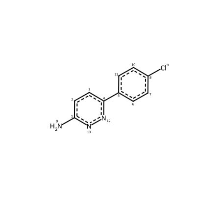 Nc1ccc(-c2ccc(Cl)cc2)nn1